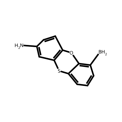 Bc1cccc2c1Oc1ccc(N)cc1S2